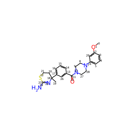 COc1cccc(N2CCN(C(=O)c3cccc(C4(C)CCSC(N)=N4)c3)CC2)c1